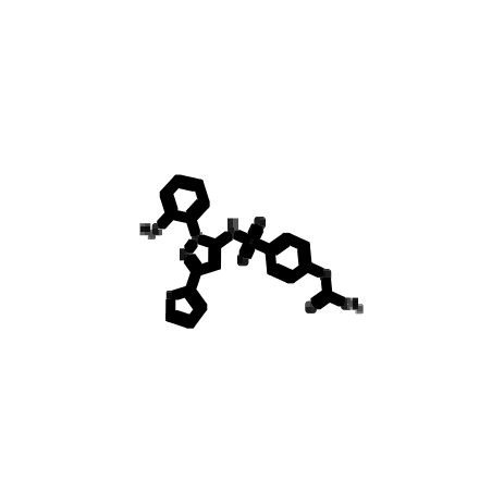 CC(=O)Oc1ccc(S(=O)(=O)Nc2cc(-c3cccs3)nn2-c2ccccc2C)cc1